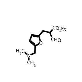 CCOC(=O)C(C=O)Cc1ccc(CN(C)C)o1